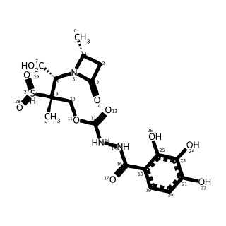 C[C@@H]1CC(=O)N1[C@@H](C(=O)O)[C@](C)(COC(=O)NNC(=O)c1ccc(O)c(O)c1O)[SH](=O)=O